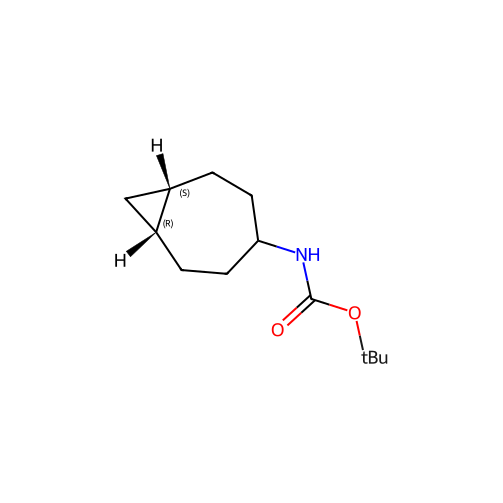 CC(C)(C)OC(=O)NC1CC[C@@H]2C[C@@H]2CC1